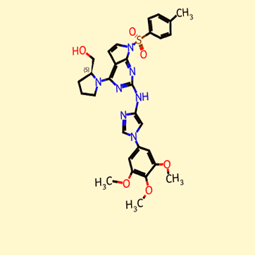 COc1cc(-n2cnc(Nc3nc(N4CCC[C@H]4CO)c4ccn(S(=O)(=O)c5ccc(C)cc5)c4n3)c2)cc(OC)c1OC